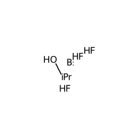 CC(C)O.F.F.F.[B]